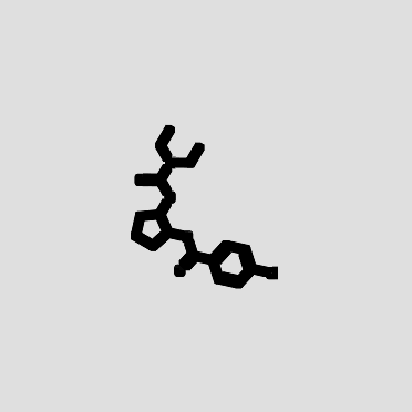 CCN(CC)C(=O)OC1CCCC1OC(=O)c1ccc(Cl)cc1